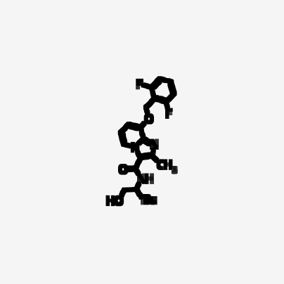 CCC(C)C(CO)NC(=O)c1c(C)nc2c(OCc3c(F)cccc3F)cccn12